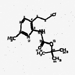 Cc1ccc(CCCl)c(NC(=O)OC(C)(C)C)n1